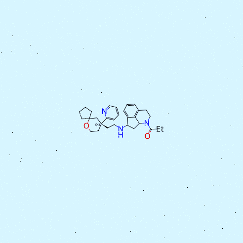 CCC(=O)N1CCc2cccc3c2C1CC3NCC[C@@]1(c2ccccn2)CCOC2(CCCC2)C1